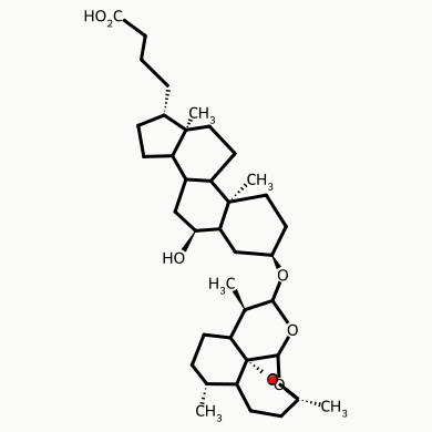 C[C@H]1C(O[C@@H]2CC[C@]3(C)C4CC[C@@]5(C)C(CC[C@@H]5CCCC(=O)O)C4C[C@H](O)C3C2)OC2O[C@]3(C)CCC4[C@H](C)CCC1[C@@]24OO3